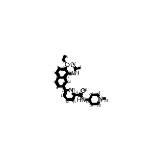 CCOc1ccc2ccc(-c3cccc(C(=O)NC4CCN(C)CC4)n3)cc2c1NC(C)=O